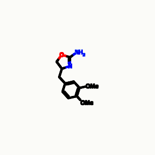 COc1ccc(CC2COC(N)=N2)cc1OC